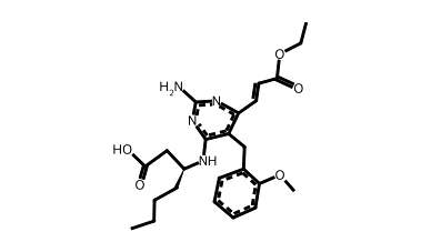 CCCC[C@@H](CC(=O)O)Nc1nc(N)nc(/C=C/C(=O)OCC)c1Cc1ccccc1OC